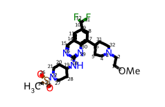 COCCN1CCC(c2cc(C(F)F)cc3cnc(NC4CCN(S(C)(=O)=O)CC4)nc23)CC1